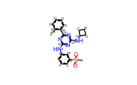 CS(=O)(=O)c1cccc(Nc2nc(NC3CCC3)nc(-c3ccccc3F)n2)c1